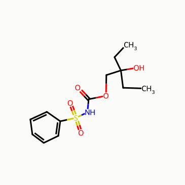 CCC(O)(CC)COC(=O)NS(=O)(=O)c1ccccc1